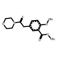 CCCCOC(=O)c1cc(CC(=S)N2CCOCC2)ccc1OCCCC